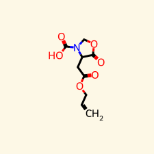 C=CCOC(=O)CC1C(=O)OCN1C(=O)O